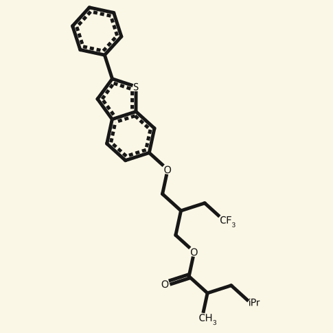 CC(C)CC(C)C(=O)OCC(COc1ccc2cc(-c3ccccc3)sc2c1)CC(F)(F)F